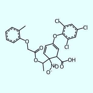 Cc1ccccc1OCC(=O)OC(C)C1([N+](=O)[O-])C=CC(Oc2c(Cl)cc(Cl)cc2Cl)=CC1C(=O)O